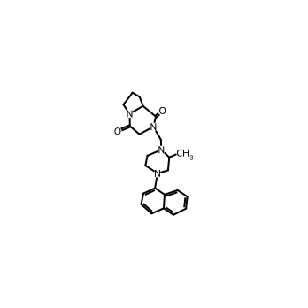 CC1CN(c2cccc3ccccc23)CCN1CN1CC(=O)N2CCCC2C1=O